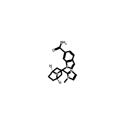 Cn1ccnc1CN1[C@@H]2CC[C@H]1CC(n1ccc3ccc(C(N)=O)cc31)C2